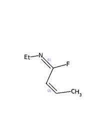 C/C=C\C(F)=N/CC